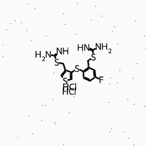 Cl.Cl.N=C(N)SCc1cc(F)ccc1Sc1cscc1CSC(=N)N